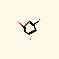 CCc1cccc([O-])c1.[Li+]